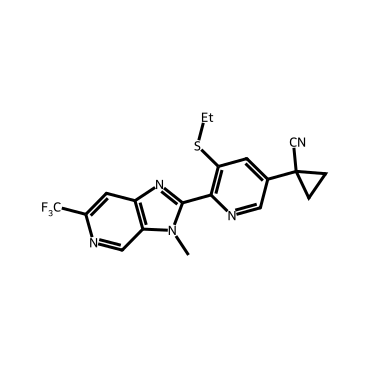 CCSc1cc(C2(C#N)CC2)cnc1-c1nc2cc(C(F)(F)F)ncc2n1C